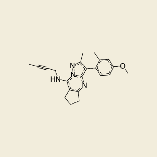 CC#CCNc1c2c(nc3c(-c4ccc(OC)cc4C)c(C)nn13)CCC2